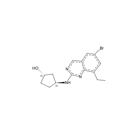 CCc1cc(Br)cc2cnc(N[C@H]3CC[C@H](O)C3)nc12